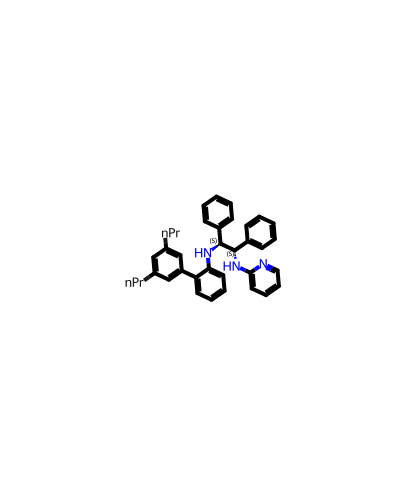 CCCc1cc(CCC)cc(-c2ccccc2N[C@@H](c2ccccc2)[C@@H](Nc2ccccn2)c2ccccc2)c1